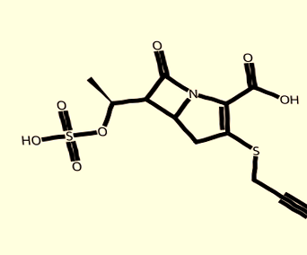 C#CCSC1=C(C(=O)O)N2C(=O)C([C@H](C)OS(=O)(=O)O)C2C1